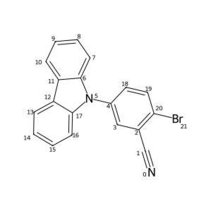 N#Cc1cc(-n2c3ccccc3c3ccccc32)ccc1Br